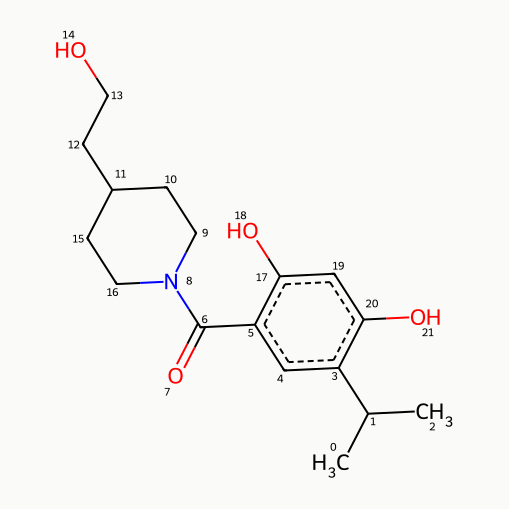 CC(C)c1cc(C(=O)N2CCC(CCO)CC2)c(O)cc1O